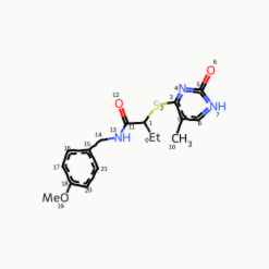 CCC(Sc1nc(=O)[nH]cc1C)C(=O)NCc1ccc(OC)cc1